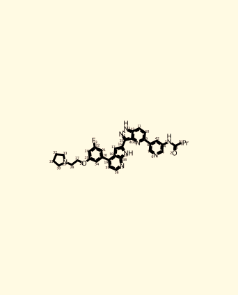 CC(C)C(=O)Nc1cncc(-c2ccc3[nH]nc(-c4cc5c(-c6cc(F)cc(OCCN7CCCC7)c6)ccnc5[nH]4)c3n2)c1